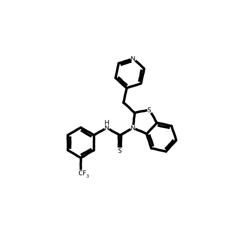 FC(F)(F)c1cccc(NC(=S)N2c3ccccc3SC2Cc2ccncc2)c1